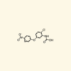 O=C(O)Nc1cc(Oc2ccc([N+](=O)[O-])nc2)ccc1Cl